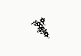 CCS(=O)(=O)c1ccc(N[C@H](C)c2ccccc2)c(-c2cn(C)c(=O)c3c2ccn3S(=O)(=O)c2ccc(C)cc2)c1